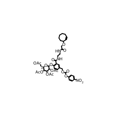 CC(=O)OC[C@H]1O[C@@H](Oc2ccc(COC(=O)Oc3ccc([N+](=O)[O-])cc3)cc2C(=O)NCCNC(=O)COC2C#CCCCCC2)[C@H](OC(C)=O)[C@@H](OC(C)=O)[C@@H]1OC(C)=O